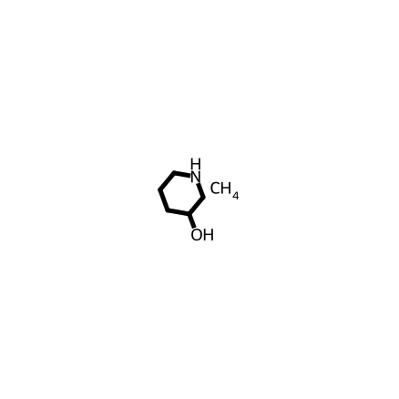 C.OC1CCCNC1